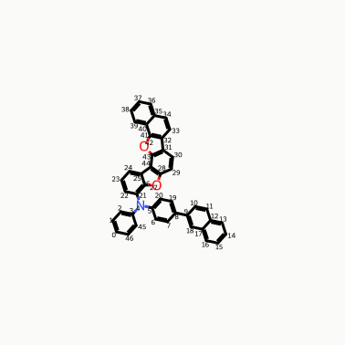 c1ccc(N(c2ccc(-c3ccc4ccccc4c3)cc2)c2cccc3c2oc2ccc4c5ccc6ccccc6c5oc4c23)cc1